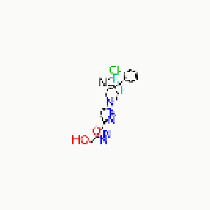 N#CC1(C(F)(F)c2ccccc2Cl)CCN(c2ccc(-c3nnc(CO)o3)nn2)CC1